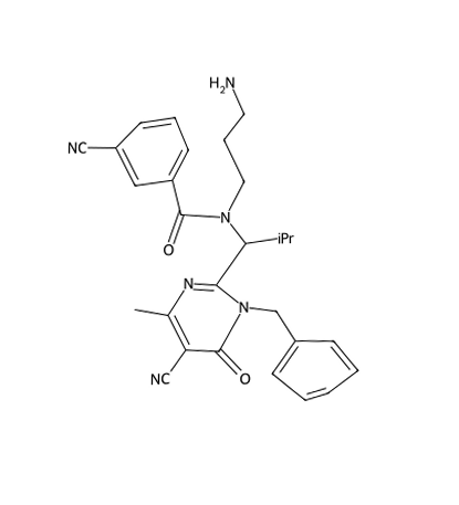 Cc1nc(C(C(C)C)N(CCCN)C(=O)c2cccc(C#N)c2)n(Cc2ccccc2)c(=O)c1C#N